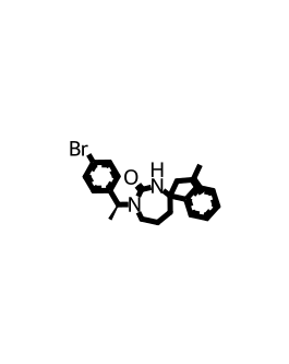 C=C(C)CC1(c2ccccc2)CCCN([C@@H](C)c2ccc(Br)cc2)C(=O)N1